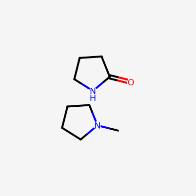 CN1CCCC1.O=C1CCCN1